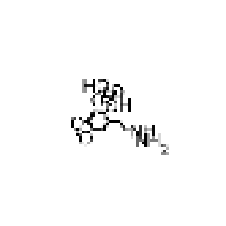 NNCCc1ccc2c(c1)OCO2.O=S(=O)(O)O